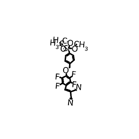 CO[Si](OC)(OC)c1ccc(COc2c(F)c(F)c(C=C(C#N)C#N)c(F)c2F)cc1